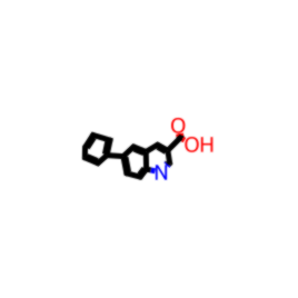 O=C(O)c1cnc2ccc(-c3ccccc3)cc2c1